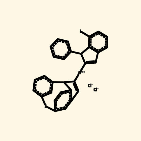 Ic1cccc2c1C(c1ccccc1)[C]([Zr+2][C]1=Cc3cc4ccc3C1c1cccc(c1)S4)=C2.[Cl-].[Cl-]